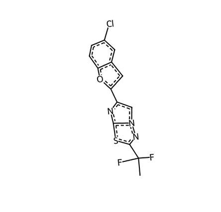 CC(F)(F)c1nn2cc(-c3cc4cc(Cl)ccc4o3)nc2s1